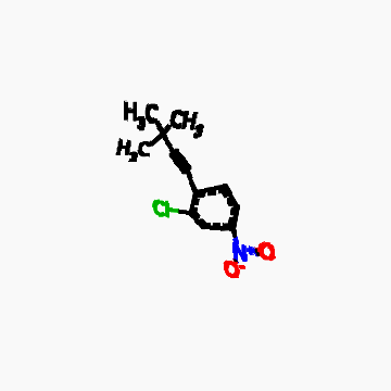 CC(C)(C)C#Cc1ccc([N+](=O)[O-])cc1Cl